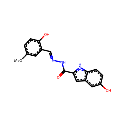 COc1ccc(O)c(/C=N/NC(=O)c2cc3cc(O)ccc3[nH]2)c1